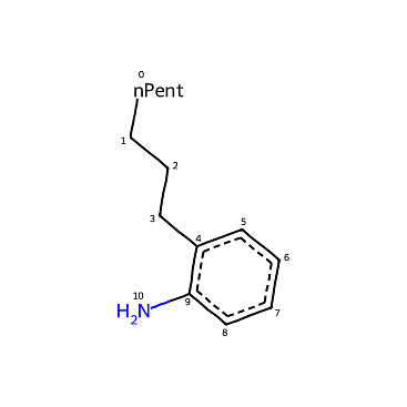 CCCCCCCCc1ccccc1N